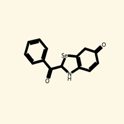 O=C1C=CC2=C(C1)[Se]C(C(=O)c1ccccc1)N2